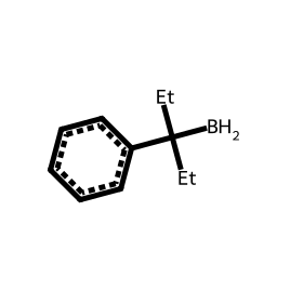 BC(CC)(CC)c1ccccc1